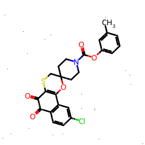 Cc1cccc(OC(=O)N2CCC3(CC2)CSC2=C(O3)c3cc(Cl)ccc3C(=O)C2=O)c1